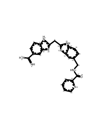 N=C(N)c1ccc2[nH]c(Cc3nc4cc(CNC(=O)c5ccccn5)ccc4[nH]3)nc2c1